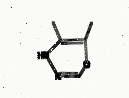 CC1=C(C)OC=NN1